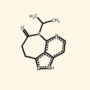 CC(C)N1C(=O)CCc2n[nH]c3ccnc1c23